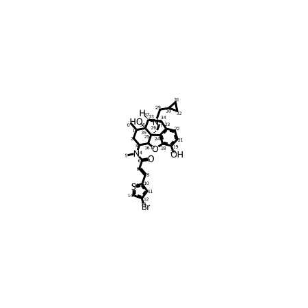 CC1CC(N(C)C(=O)/C=C/c2cc(Br)cs2)C2Oc3c(O)ccc4c3[C@@]23CCN(CC2CC2)[C@H](C4)[C@]13O